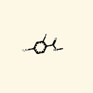 CNC(=O)c1ccc([AsH2])cc1F